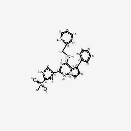 CS(=O)(=O)c1nc(-c2nc(NCc3ccccn3)c3c(-c4ccccc4)ccn3n2)cs1